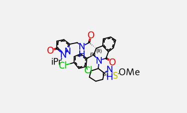 COSN[C@H]1CCCCC1N1C(=O)c2ccccc2[C@@H](C(=O)NCc2ccc(=O)n(C(C)C)n2)[C@@H]1c1ccc(Cl)cc1Cl